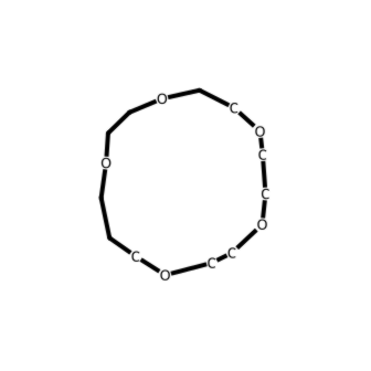 C1COCCOCCOCCOCCOC1